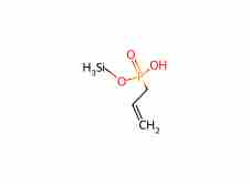 C=CCP(=O)(O)O[SiH3]